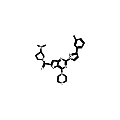 Cc1cccc(-c2ccn(-c3nc(N4CCOCC4)c4sc(C(=O)N5CCC(N(C)C)C5)cc4n3)n2)c1